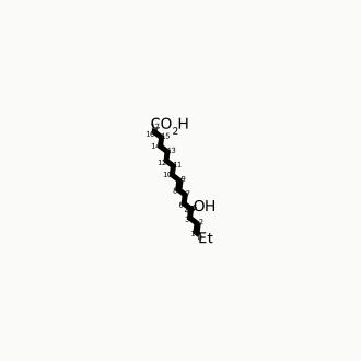 CCC=CCC(O)CCC=CCCCCCCCC(=O)O